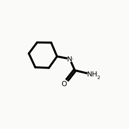 NC(=O)[N]C1CCCCC1